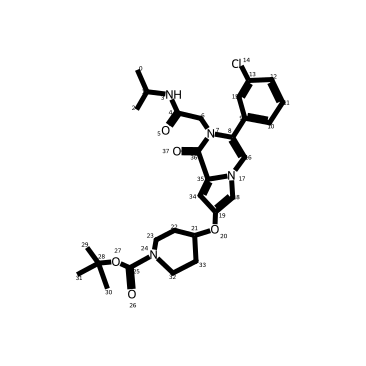 CC(C)NC(=O)Cn1c(-c2cccc(Cl)c2)cn2cc(OC3CCN(C(=O)OC(C)(C)C)CC3)cc2c1=O